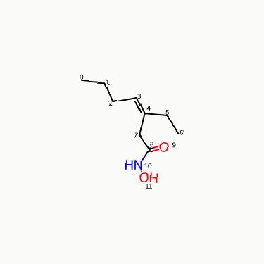 CCCC=C(CC)CC(=O)NO